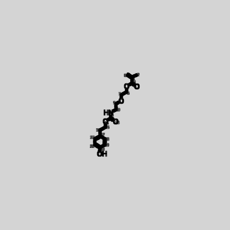 C=C(C)C(=O)OCCOCCNC(=O)OCCc1ccc(O)cc1